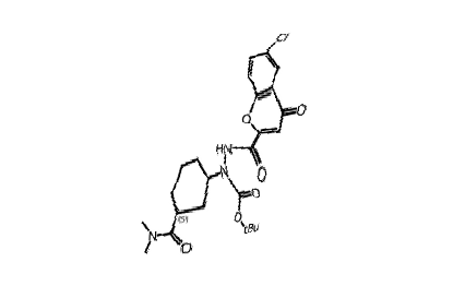 CN(C)C(=O)[C@H]1CCCC(N(NC(=O)c2cc(=O)c3cc(Cl)ccc3o2)C(=O)OC(C)(C)C)C1